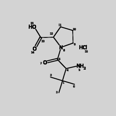 CC(C)(C)C(N)C(=O)N1CCCC1C(=O)O.Cl